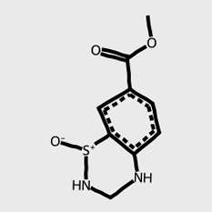 COC(=O)c1ccc2c(c1)[S+]([O-])NCN2